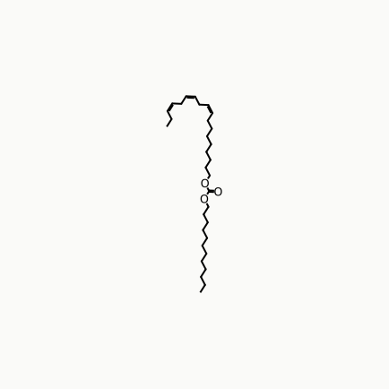 CC/C=C\C/C=C\C/C=C\CCCCCCCCOC(=O)OCCCCCCCCCCCC